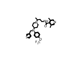 Cc1cncc(C)c1C(=O)NCCC(C)N1CCC(N(Cc2ccsc2)c2ccc(OC(F)(F)F)cc2)CC1